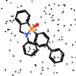 O=P1(c2ccc(-c3ccccc3)cc2)c2ccccc2CN1c1ccccc1